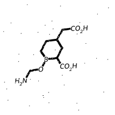 NCOB1CCC(CC(=O)O)CC1C(=O)O